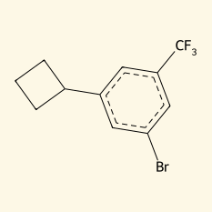 FC(F)(F)c1cc(Br)cc(C2CCC2)c1